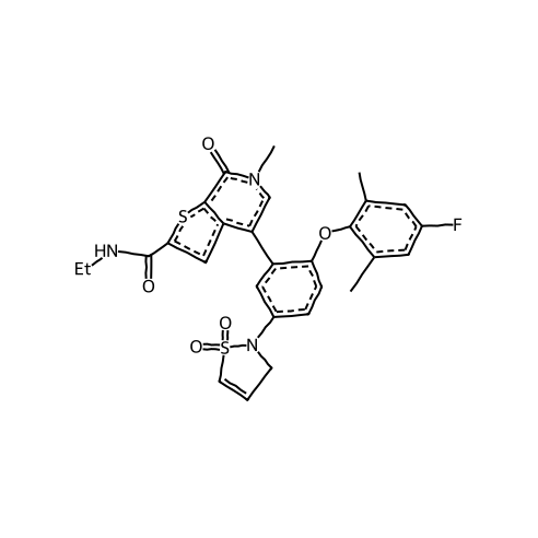 CCNC(=O)c1cc2c(-c3cc(N4CC=CS4(=O)=O)ccc3Oc3c(C)cc(F)cc3C)cn(C)c(=O)c2s1